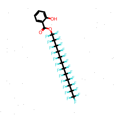 O=C(OC(F)(F)C(F)(F)C(F)(F)C(F)(F)C(F)(F)C(F)(F)C(F)(F)C(F)(F)C(F)(F)C(F)(F)C(F)(F)C(F)(F)F)c1ccccc1O